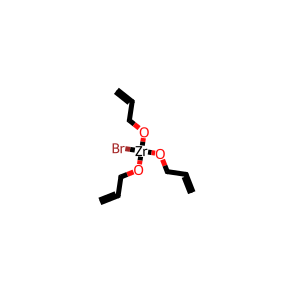 C=CC[O][Zr]([Br])([O]CC=C)[O]CC=C